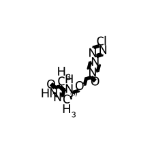 CC[C@@H](COCCC(=O)N1CCN(c2cnc(Cl)cn2)CC1)Nc1cn[nH]c(=O)c1C